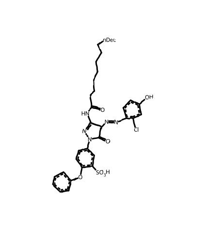 CCCCCCCCCCCCCCCCCC(=O)NC1=NN(c2ccc(Oc3ccccc3)c(S(=O)(=O)O)c2)C(=O)C1/N=N/c1ccc(O)cc1Cl